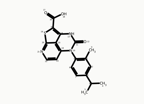 Cc1cc(C(C)C)ccc1N1C(=O)Nc2c(C(=O)O)sc3nccc1c23